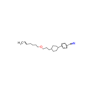 C/C=C/CCCCOCCCC1CCC(c2ccc(C#N)cc2)CC1